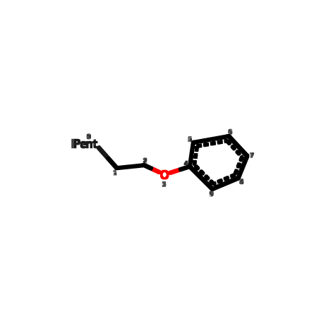 CCCC(C)CCOc1ccccc1